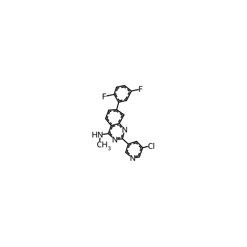 CNc1nc(-c2cncc(Cl)c2)nc2cc(-c3cc(F)ccc3F)ccc12